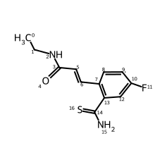 CCNC(=O)C=Cc1c[c]c(F)cc1C(N)=S